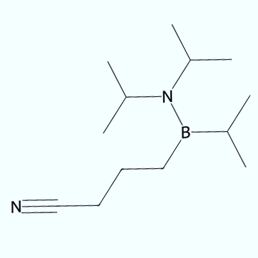 CC(C)B(CCCC#N)N(C(C)C)C(C)C